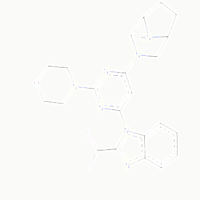 FC(F)c1nc2ccccc2n1-c1cc(N2CC3CCC(C2)N3)nc(N2CCOCC2)n1